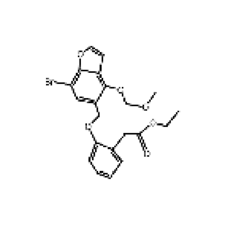 CCOC(=O)Cc1ccccc1OCc1cc(Br)c2occc2c1OCOC